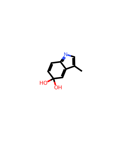 CC1=CN=C2C=CC(O)(O)C=C12